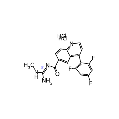 CN/C(N)=N/C(=O)c1ccc2nccc(-c3c(F)cc(F)cc3F)c2c1.Cl.Cl